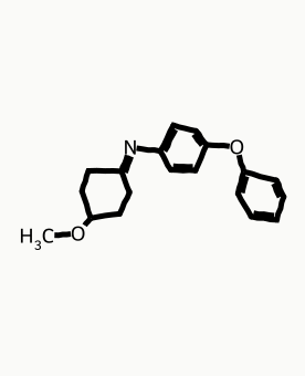 COC1CCC(=Nc2ccc(Oc3ccccc3)cc2)CC1